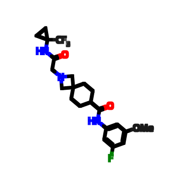 COc1cc(F)cc(NC(=O)C2CCC3(CC2)CN(CC(=O)NC2(C(F)(F)F)CC2)C3)c1